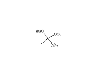 CCCCC(C)(OCC(C)C)OCC(C)C